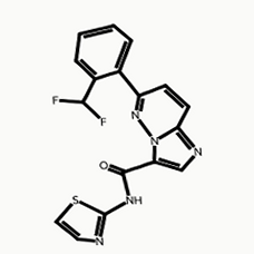 O=C(Nc1nccs1)c1cnc2ccc(-c3ccccc3C(F)F)nn12